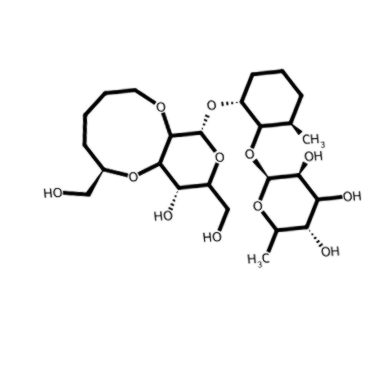 CC1O[C@@H](OC2[C@H](C)CCC[C@H]2O[C@@H]2OC(CO)[C@H](O)C3O[C@@H](CO)CCCCOC32)[C@@H](O)C(O)[C@@H]1O